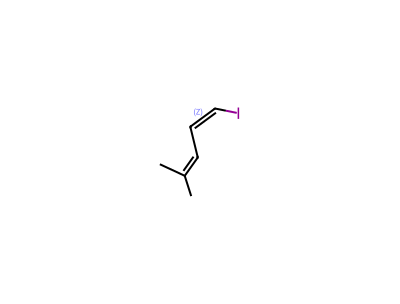 CC(C)=C/C=C\I